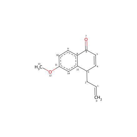 C=CCC1C=CC(=O)c2ccc(OC)cc21